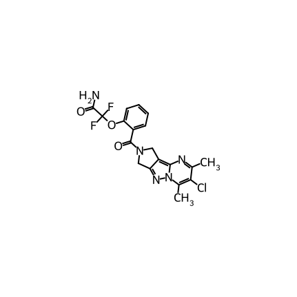 Cc1nc2c3c(nn2c(C)c1Cl)CN(C(=O)c1ccccc1OC(F)(F)C(N)=O)C3